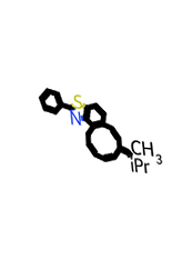 C/C(=C1/C=C\C=C/Cc2c(ccc3sc(-c4ccccc4)nc23)\C=C/1)C(C)C